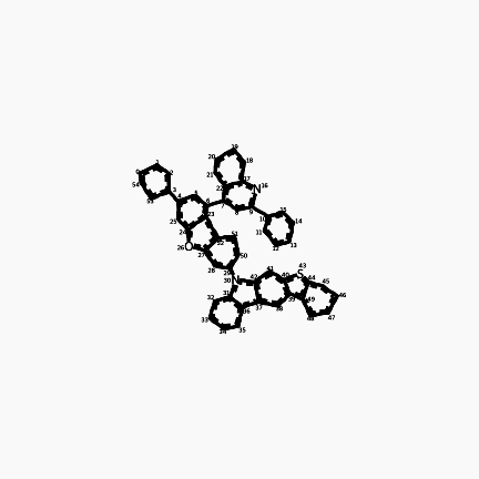 c1ccc(-c2cc(-c3cc(-c4ccccc4)nc4ccccc34)c3c(c2)oc2cc(-n4c5ccccc5c5cc6c(cc54)sc4ccccc46)ccc23)cc1